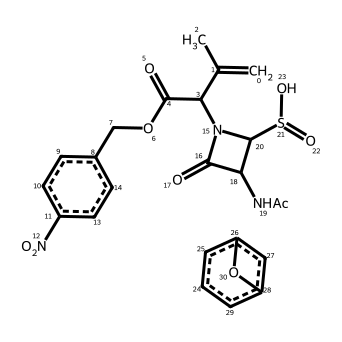 C=C(C)C(C(=O)OCc1ccc([N+](=O)[O-])cc1)N1C(=O)C(NC(C)=O)C1S(=O)O.c1cc2cc(c1)O2